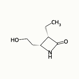 CC[C@@H]1C(=O)N[C@@H]1CCO